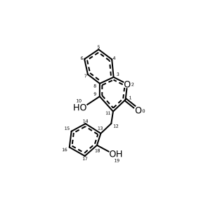 O=c1oc2ccccc2c(O)c1Cc1ccccc1O